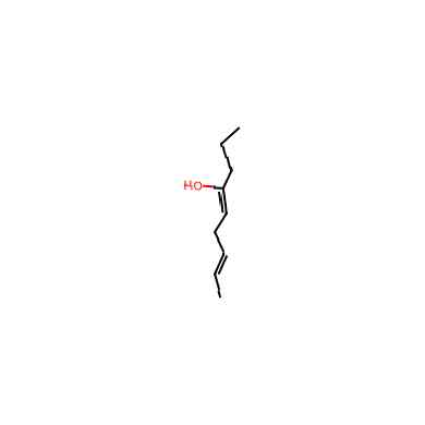 CC=CCC=C(O)CCC